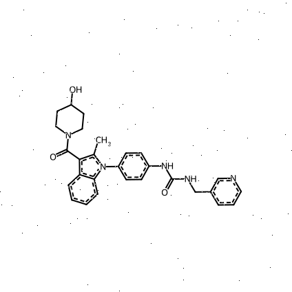 Cc1c(C(=O)N2CCC(O)CC2)c2ccccc2n1-c1ccc(NC(=O)NCc2cccnc2)cc1